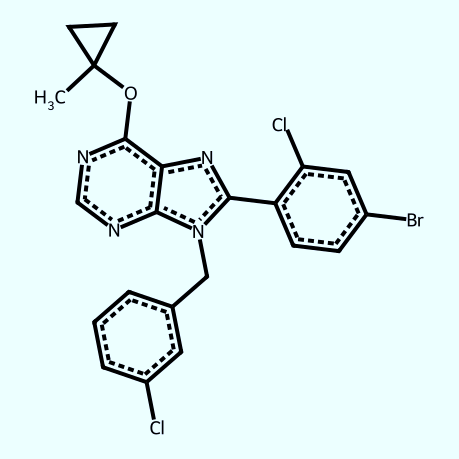 CC1(Oc2ncnc3c2nc(-c2ccc(Br)cc2Cl)n3Cc2cccc(Cl)c2)CC1